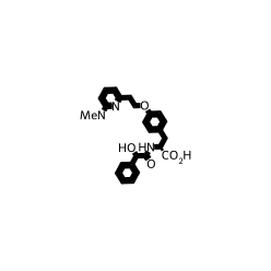 CNc1cccc(CCOc2ccc(C[C@H](NC(=O)C(O)c3ccccc3)C(=O)O)cc2)n1